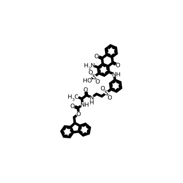 CC(NC(=O)OCC1c2ccccc2-c2ccccc21)C(=O)NCCS(=O)(=O)c1cccc(Nc2cc(S(=O)(=O)O)c(N)c3c2C(=O)c2ccccc2C3=O)c1